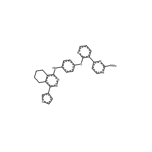 CNc1nccc(-c2cccnc2Oc2ccc(Nc3nnc(-c4ccsc4)c4c3CCCC4)cc2)n1